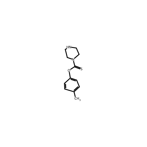 Cc1ccc(OC(=S)N2CCNCC2)cc1